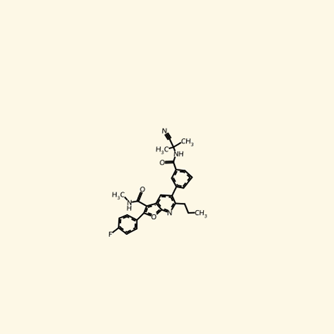 CCCc1nc2oc(-c3ccc(F)cc3)c(C(=O)NC)c2cc1-c1cccc(C(=O)NC(C)(C)C#N)c1